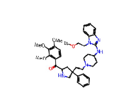 CCOCCn1c(NC2CCN(CCC3(c4ccccc4)CNC(C(=O)c4ccc(OC)c(OC)c4OC)C3)CC2)nc2ccccc21